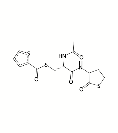 CC(=O)N[C@@H](CSC(=O)c1cccs1)C(=O)NC1CCSC1=O